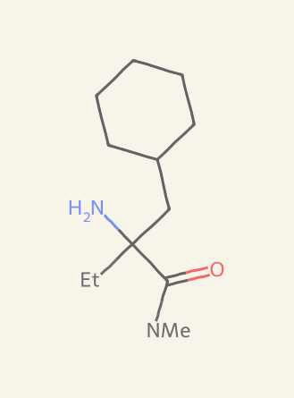 CCC(N)(CC1CCCCC1)C(=O)NC